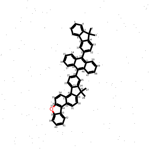 CC1(C)c2ccccc2-c2cc(-c3c4ccccc4c(-c4ccc5c(c4)C(C)(C)c4ccc6c(ccc7oc8ccccc8c76)c4-5)c4ccccc34)ccc21